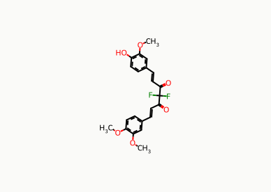 COc1cc(/C=C/C(=O)C(F)(F)C(=O)/C=C/c2ccc(OC)c(OC)c2)ccc1O